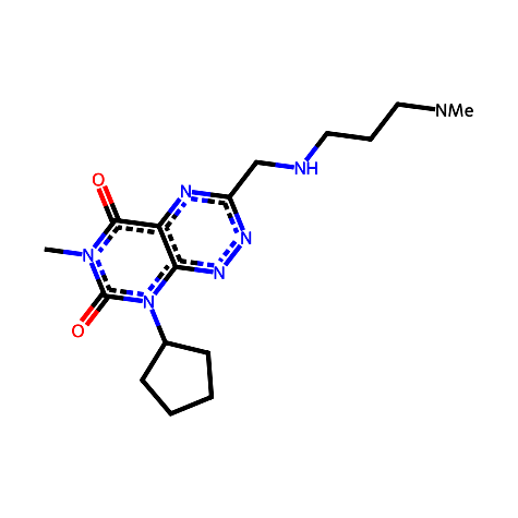 CNCCCNCc1nnc2c(n1)c(=O)n(C)c(=O)n2C1CCCC1